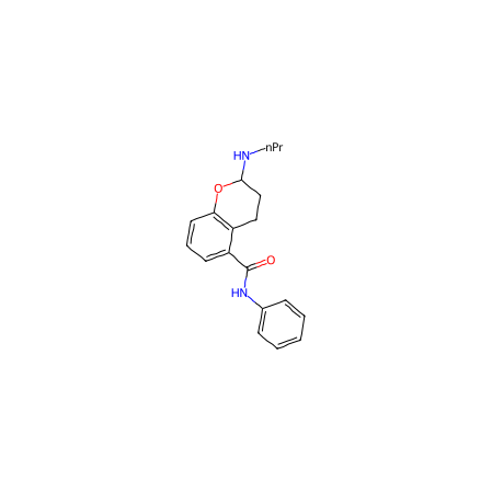 CCCNC1CCc2c(cccc2C(=O)Nc2ccccc2)O1